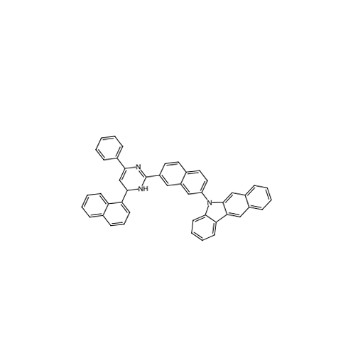 C1=C(c2ccccc2)N=C(c2ccc3ccc(-n4c5ccccc5c5cc6ccccc6cc54)cc3c2)NC1c1cccc2ccccc12